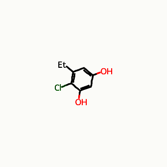 CCc1cc(O)cc(O)c1Cl